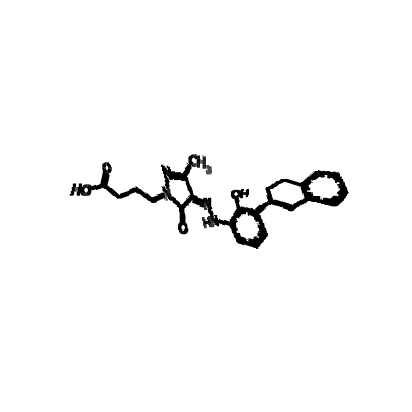 CC1=NN(CCCC(=O)O)C(=O)/C1=N\Nc1cccc(C2=Cc3ccccc3CC2)c1O